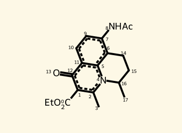 CCOC(=O)c1c(C)n2c3c(c(NC(C)=O)ccc3c1=O)CCC2C